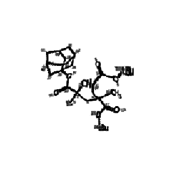 CCC(C)(CC(C)(CC(=O)OC(C)(C)C)C(=O)OC(C)(C)C)C(=O)OC12CC3CC(CC(C3)C1)C2